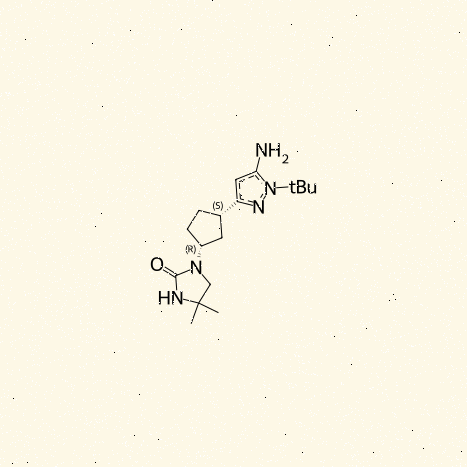 CC1(C)CN([C@@H]2CC[C@H](c3cc(N)n(C(C)(C)C)n3)C2)C(=O)N1